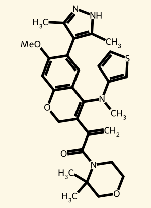 C=C(C(=O)N1CCOCC1(C)C)C1=C(N(C)c2ccsc2)c2cc(-c3c(C)n[nH]c3C)c(OC)cc2OC1